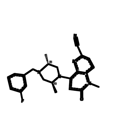 C[C@@H]1CN(c2cc(=O)n(C)c3ccc(C#N)nc23)[C@@H](C)CN1Cc1cccc(F)c1